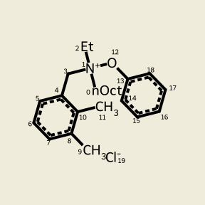 CCCCCCCC[N+](CC)(Cc1cccc(C)c1C)Oc1ccccc1.[Cl-]